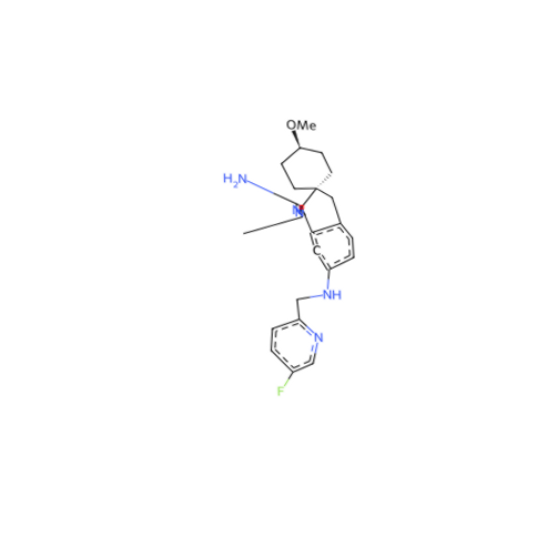 CO[C@H]1CC[C@]2(CC1)Cc1ccc(NCc3ccc(F)cn3)cc1C21N=C(C)C(N)=N1